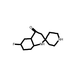 O=C1CC2(CCNCC2)NC2CCC(F)CC12